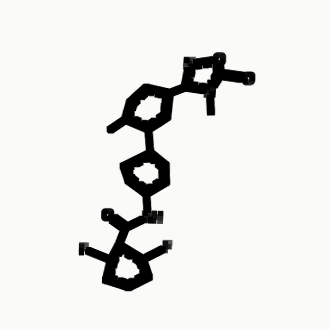 Cc1ccc(-c2noc(=O)n2C)cc1-c1ccc(NC(=O)c2c(F)cccc2F)cc1